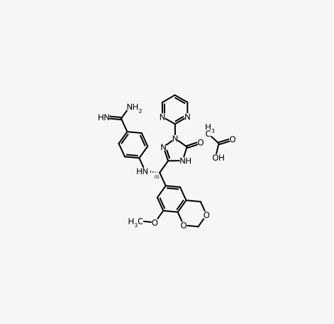 CC(=O)O.COc1cc([C@H](Nc2ccc(C(=N)N)cc2)c2nn(-c3ncccn3)c(=O)[nH]2)cc2c1OCOC2